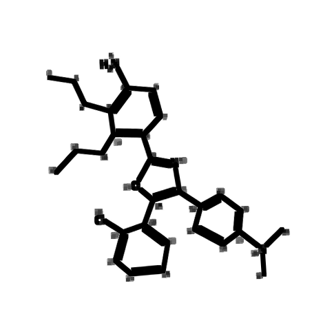 CCCc1c(N)ccc(-c2nc(-c3ccc(N(C)C)cc3)c(-c3ccccc3Cl)o2)c1CCC